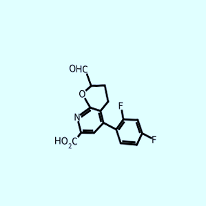 O=CC1CCc2c(-c3ccc(F)cc3F)cc(C(=O)O)nc2O1